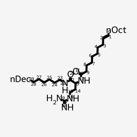 CCCCCCCCC=CCCCCCCCC(=O)NC(CCNC(=N)N)C(=O)NCCCCCCCCCCCCCCCC